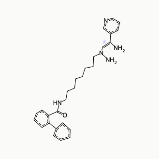 N/C(=C\N(N)CCCCCCCCNC(=O)c1ccccc1-c1ccccc1)c1cccnc1